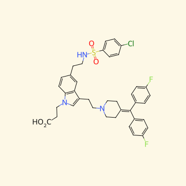 O=C(O)CCn1cc(CCN2CCC(=C(c3ccc(F)cc3)c3ccc(F)cc3)CC2)c2cc(CCNS(=O)(=O)c3ccc(Cl)cc3)ccc21